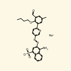 CCCCOc1c(C=O)cc(C)cc1-c1ccc(N=Nc2cc(S(=O)(=O)[O-])c3ccccc3c2N)cn1.[Na+]